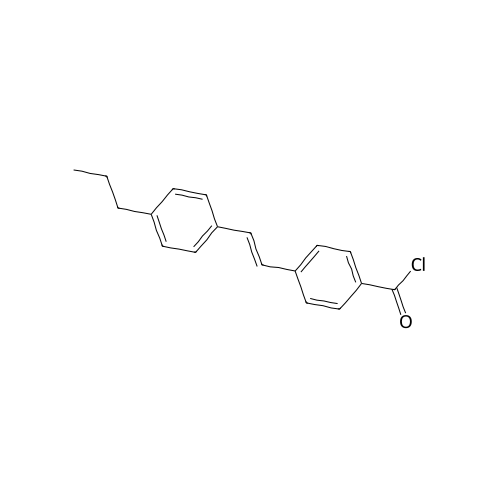 CCCc1ccc(C=Cc2ccc(C(=O)Cl)cc2)cc1